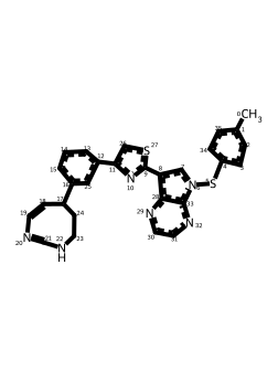 Cc1ccc(Sn2cc(-c3nc(-c4cccc(C5/C=C\N=C/NCC5)c4)cs3)c3nccnc32)cc1